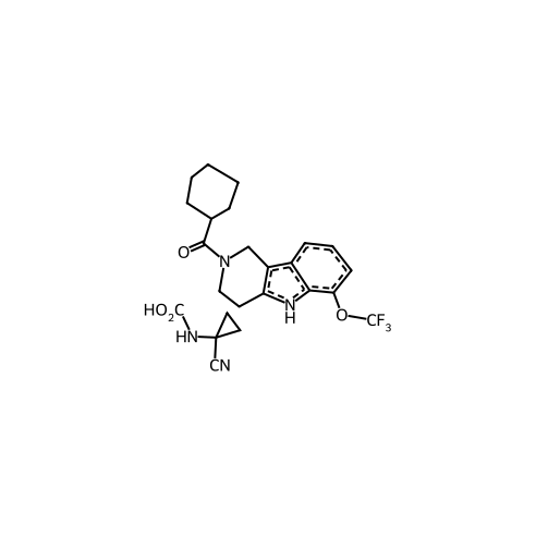 N#CC1(NC(=O)O)CC1.O=C(C1CCCCC1)N1CCc2[nH]c3c(OC(F)(F)F)cccc3c2C1